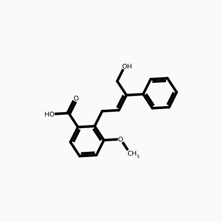 COc1cccc(C(=O)O)c1CC=C(CO)c1ccccc1